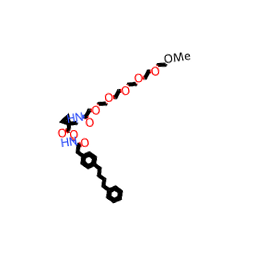 COCCOCCOCCOCCOCCOCC(=O)NCC1(C(=O)ONC(=O)Cc2ccc(CCCCc3ccccc3)cc2)CC1